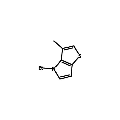 CCn1ccc2scc(C)c21